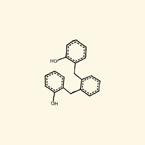 Oc1ccccc1Cc1ccccc1Cc1ccccc1O